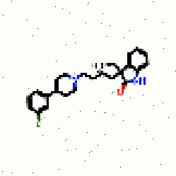 CCC1(CCCCN2CC=C(c3cccc(Cl)c3)CC2)C(=O)Nc2ccccc21